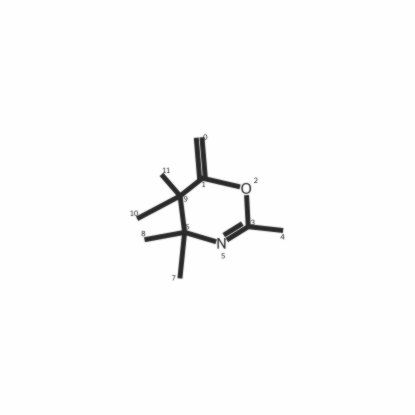 C=C1OC(C)=NC(C)(C)C1(C)C